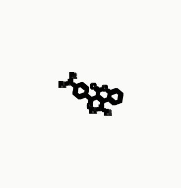 CCN(CC)c1ccc(C(=O)c2c(N(CC)CC)c3ccccc3oc2=O)cc1